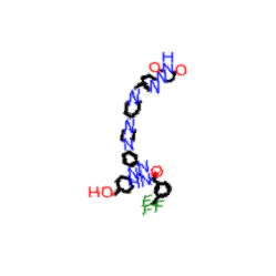 O=C1CCN(c2ccc(CN3CCC(N4CCN(c5ccc6c(c5)nc(NC(=O)c5cccc(C(F)(F)F)c5)n6C5CCC(CO)CC5)CC4)CC3)cn2)C(=O)N1